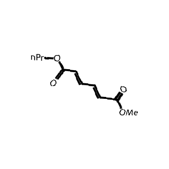 CCCOC(=O)C=CC=CC(=O)OC